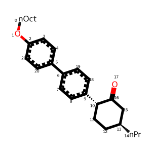 CCCCCCCCOc1ccc(-c2ccc([C@H]3CC[C@H](CCC)CC3=O)cc2)cc1